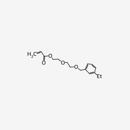 C=CC(=O)OCCOCCOCc1cccc(CC)c1